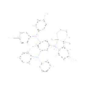 CC(C)(C)c1ccc(N2c3ccc(C(C)(C)C)cc3B3c4ccccc4N(c4ccccc4)c4cc(N5c6ccc(C(C)(C)C)cc6C6(C)CCCCC56C)cc2c43)cc1